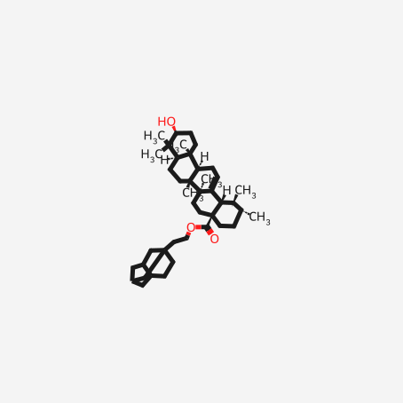 C[C@H]1[C@H](C)CC[C@]2(C(=O)OCCC34CCC5CC(CC5C3)C4)CC[C@]3(C)C(=CC[C@@H]4[C@@]5(C)CC[C@H](O)C(C)(C)[C@@H]5CC[C@]43C)[C@H]12